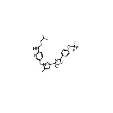 Cc1cc(-c2nc(-c3ccc(OC(F)(F)F)cc3)no2)nn1Cc1ccc(NCCC(C)C)nc1